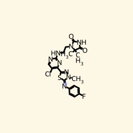 Cn1nc(-c2nc(NCCN3C(=O)NC(=O)C3(C)C)ncc2Cl)s/c1=N/c1ccc(F)cc1